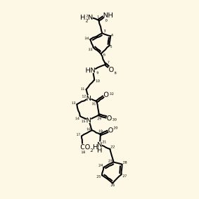 N=C(N)c1ccc(C(=O)NCCN2CCN(C(CC(=O)O)C(=O)NCc3ccccc3)C(=O)C2=O)cc1